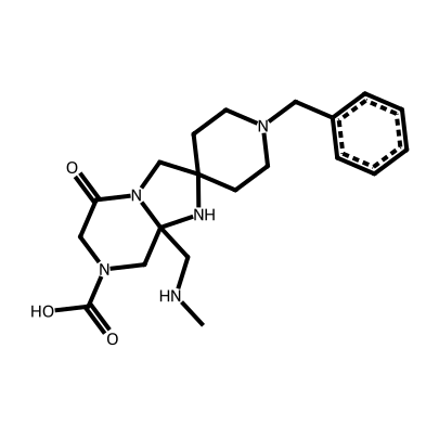 CNCC12CN(C(=O)O)CC(=O)N1CC1(CCN(Cc3ccccc3)CC1)N2